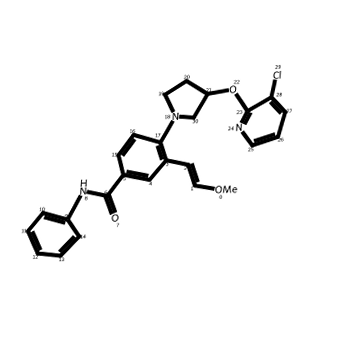 COC=Cc1cc(C(=O)Nc2ccccc2)ccc1N1CCC(Oc2ncccc2Cl)C1